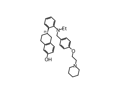 CCN(Cc1ccc(OCCN2CCCCC2)cc1)c1ccccc1[C@@H]1CCc2cc(O)ccc2C1